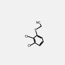 N#CCSc1cccc(Cl)c1Cl